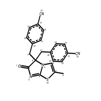 CC1=CN2C(=NC(=O)C2(Cc2ccc(C#N)cc2)Cc2ccc(C#N)cc2)S1